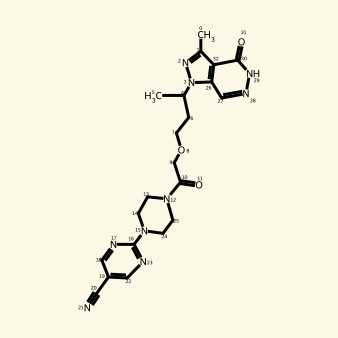 Cc1nn(C(C)CCOCC(=O)N2CCN(c3ncc(C#N)cn3)CC2)c2cn[nH]c(=O)c12